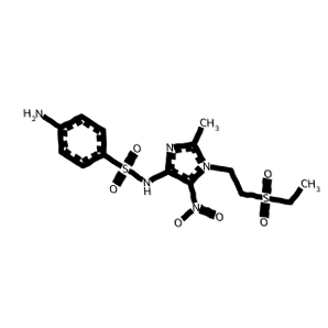 CCS(=O)(=O)CCn1c(C)nc(NS(=O)(=O)c2ccc(N)cc2)c1[N+](=O)[O-]